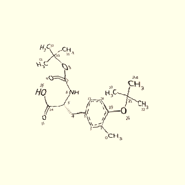 Cc1cc(C[C@@H](NC(=O)OC(C)(C)C)C(=O)O)ccc1OC(C)(C)C